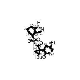 CCc1cnc(OCC(C)C)c(C2(C(=O)NS(=O)(=O)c3cccc4[nH]ncc34)CC2)c1